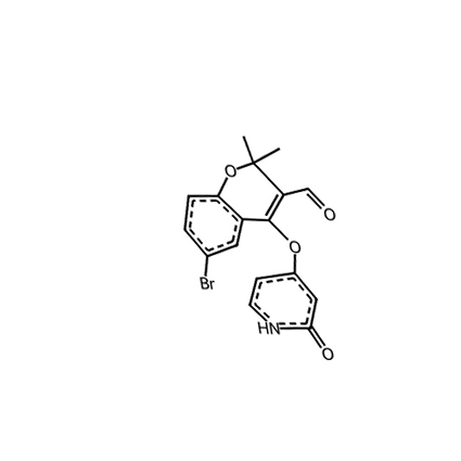 CC1(C)Oc2ccc(Br)cc2C(Oc2cc[nH]c(=O)c2)=C1C=O